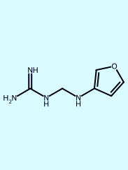 N=C(N)NCNc1ccoc1